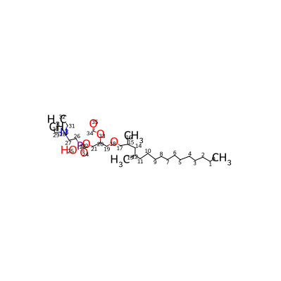 CCCCCCCCCCCCC(C)CC(C)COCC(COP(=O)(O)CCN(CC)CC)OC=O